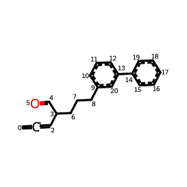 C=C=CC(C=O)CCCc1cccc(-c2ccccc2)c1